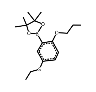 CCCOc1ccc(SCC)cc1B1OC(C)(C)C(C)(C)O1